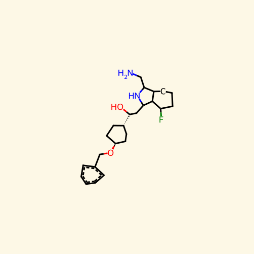 NCC1NC(CC(O)[C@H]2CC[C@H](OCc3ccccc3)CC2)C2C(F)CCCC12